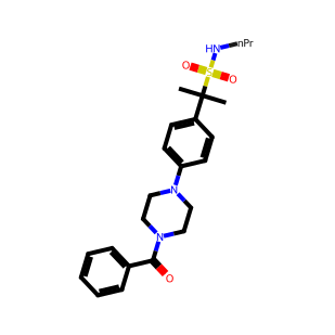 CCCNS(=O)(=O)C(C)(C)c1ccc(N2CCN(C(=O)c3ccccc3)CC2)cc1